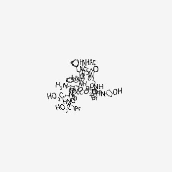 CC(=O)NC(CSC1CC(=O)N(CCCC(=O)Nc2c(Br)cc(Br)cc2CN[C@H]2CC[C@H](O)CC2)C1=O)C(=O)NC(Cc1ccccc1)C(=O)NC(Cc1ccccc1)C(=O)NC(CCCCN)C(=O)NC(CC(=O)O)C(=O)NC(CCC(=O)O)C(=O)NC(CC(C)C)C(=O)O